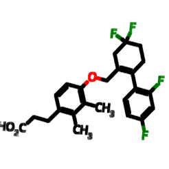 Cc1c(CCC(=O)O)ccc(OCC2=C(c3ccc(F)cc3F)CCC(F)(F)C2)c1C